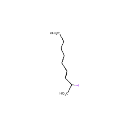 CCCCCCCCCCCCCC(I)C(=O)O